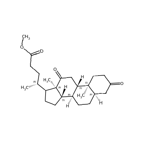 COC(=O)CC[C@@H](C)C1CC[C@H]2[C@@H]3CC[C@@H]4CC(=O)CC[C@]4(C)[C@H]3CC(=O)[C@]12C